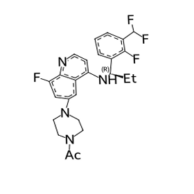 CC[C@@H](Nc1ccnc2c(F)cc(N3CCN(C(C)=O)CC3)cc12)c1cccc(C(F)F)c1F